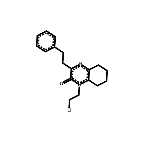 O=c1c(CCc2ccccc2)nc2c(n1CCCl)CCCC2